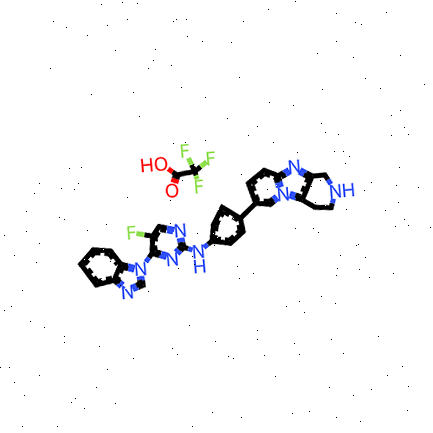 Fc1cnc(Nc2ccc(-c3ccc4nc5c(n4c3)CCNC5)cc2)nc1-n1cnc2ccccc21.O=C(O)C(F)(F)F